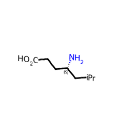 CC(C)C[C@@H](N)CCC(=O)O